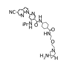 CC(C)Nc1cc(-n2ccc3cc(C#N)cnc32)ncc1C(=O)NC1CCC(C(=O)NCCOCCN2C[C@@H]3C[C@]3(N)C2)CC1